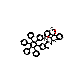 Cc1ccc(-c2c(-c3ccccc3)c(-c3ccccc3)c(-c3ccccc3)c(-c3ccccc3)c2-c2ccccc2)cc1-c1ncc2c(n1)Sc1ccccc1C21c2ccccc2Sc2ccccc21